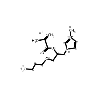 C=C(C)C(=O)OC(COCCCC)Cn1cc[n+](C)c1.[I-]